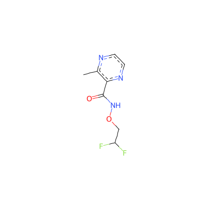 Cc1nccnc1C(=O)NOCC(F)F